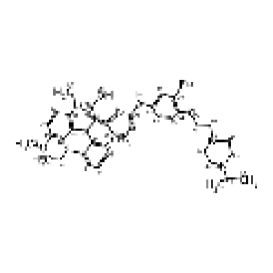 C=CCc1cccc(C)c1C(c1cc(OC)ccc1OC)N(C(=O)O)c1ccnc(Nc2ccc(OCCN3CCN(C(C)C)CC3)c(F)c2)n1